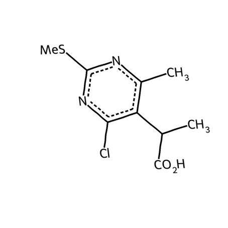 CSc1nc(C)c(C(C)C(=O)O)c(Cl)n1